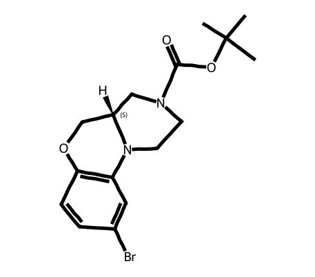 CC(C)(C)OC(=O)N1CCN2c3cc(Br)ccc3OC[C@@H]2C1